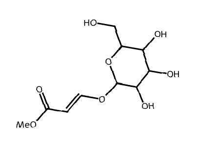 COC(=O)/C=C/OC1OC(CO)C(O)C(O)C1O